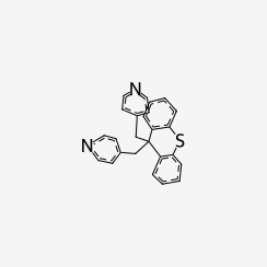 c1ccc2c(c1)Sc1ccccc1C2(Cc1ccncc1)Cc1ccncc1